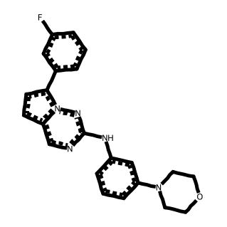 Fc1cccc(-c2ccc3cnc(Nc4cccc(N5CCOCC5)c4)nn23)c1